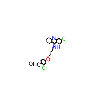 O=Cc1ccc(OCCCCCNc2c3c(nc4cc(Cl)ccc24)CCCC3)cc1Cl